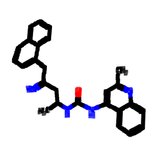 Cc1cc(NC(=O)NC(C)CC(=N)Cc2cccc3ccccc23)c2ccccc2n1